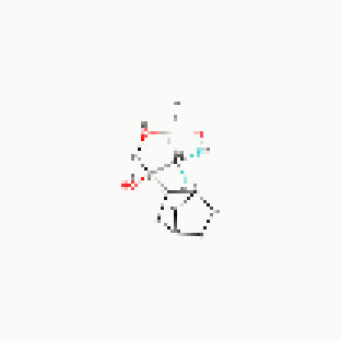 OC1(C2CC3CCC2C3)COC(O)(C(F)(F)F)C1(F)F